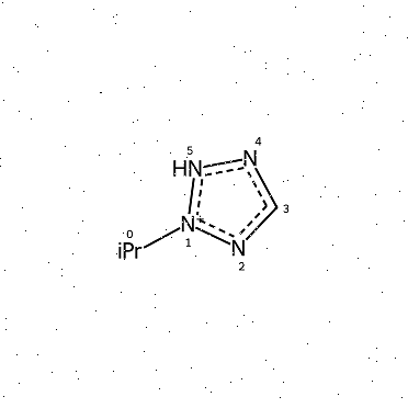 CC(C)[n+]1ncn[nH]1